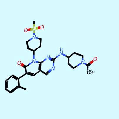 Cc1ccccc1-c1cc2cnc(NC3CCN(C(=O)C(C)(C)C)CC3)nc2n(C2CCN(S(C)(=O)=O)CC2)c1=O